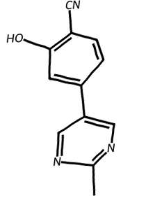 Cc1ncc(-c2ccc(C#N)c(O)c2)cn1